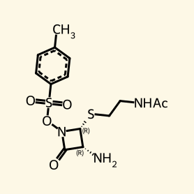 CC(=O)NCCS[C@@H]1[C@H](N)C(=O)N1OS(=O)(=O)c1ccc(C)cc1